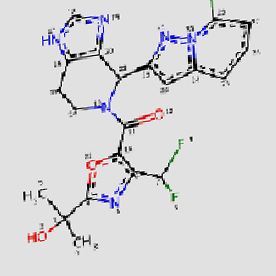 CC(C)(O)c1nc(C(F)F)c(C(=O)N2CCc3[nH]cnc3[C@H]2c2cc3cccc(F)n3n2)o1